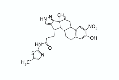 Cc1cnc(NC(=O)CC[C@@H]2c3c[nH]nc3[C@@]3(C)CCC4c5cc([N+](=O)[O-])c(O)cc5CCC4C23)s1